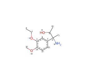 CCOc1cc(C(C)(N)C(C)O)ccc1OC